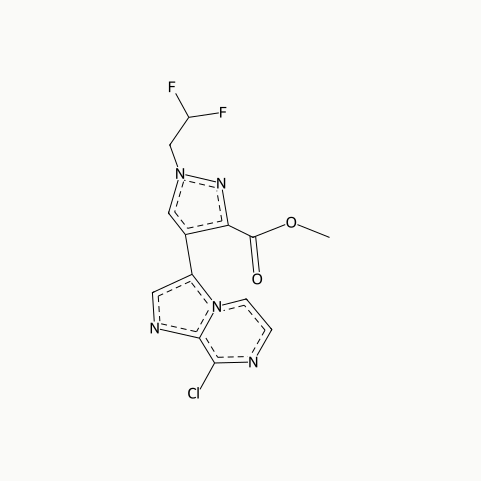 COC(=O)c1nn(CC(F)F)cc1-c1cnc2c(Cl)nccn12